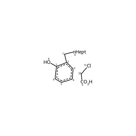 CCCCCCCCc1ccccc1O.O=C(O)CCl